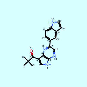 CC(C)(C)C(=O)c1c[nH]c2ncc(-c3ccc4[nH]ccc4c3)nc12